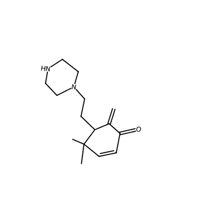 C=C1C(=O)C=CC(C)(C)C1CCN1CCNCC1